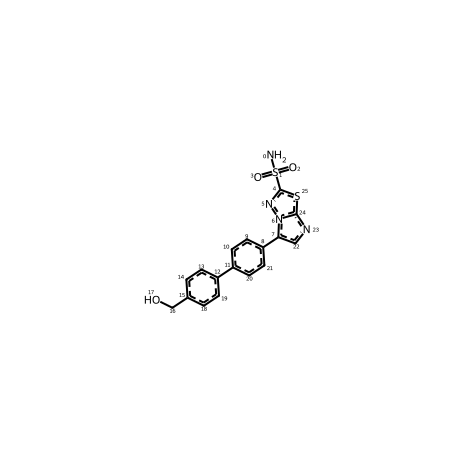 NS(=O)(=O)c1nn2c(-c3ccc(-c4ccc(CO)cc4)cc3)cnc2s1